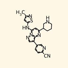 Cc1cc(Nc2cc(C3CCCNC3)nc3c(-c4ccc(C#N)nc4)cnn23)sn1